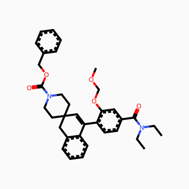 CCN(CC)C(=O)c1ccc(C2=CC3(CCN(C(=O)OCc4ccccc4)CC3)Cc3ccccc32)c(OCOC)c1